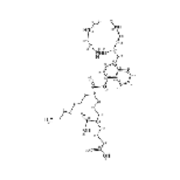 CCCCCCCC(CCCC(CCCC(=O)O)C(=O)O)C(=O)Oc1ccc(CC2CCNCCCNCCNN2)c2cccnc12